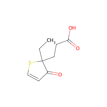 CCC1(CCC(=O)O)SC=CC1=O